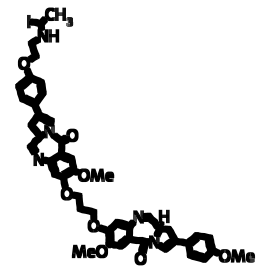 COc1ccc(C2=CN3C(=O)c4cc(OC)c(OCCCOc5cc6c(cc5OC)C(=O)N5C=C(c7ccc(OCCNC(C)I)cc7)CC5C=N6)cc4N=C[C@@H]3C2)cc1